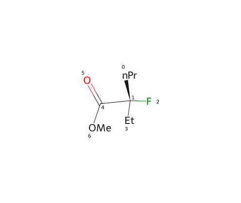 CCC[C@@](F)(CC)C(=O)OC